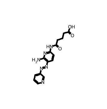 Nc1nc(NC(=O)CCCC(=O)O)ccc1N=Nc1cccnc1